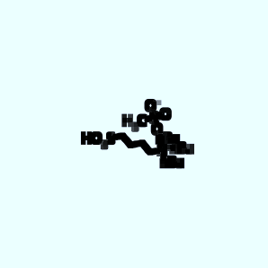 CCCC[N+](CCCC)(CCCC)CCCCS(=O)(=O)O.CS(=O)(=O)[O-]